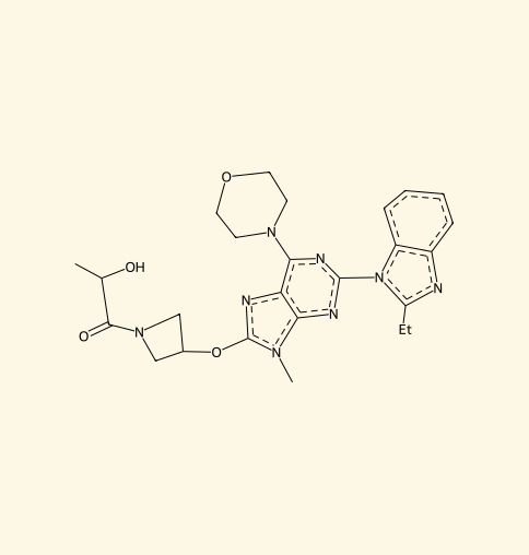 CCc1nc2ccccc2n1-c1nc(N2CCOCC2)c2nc(OC3CN(C(=O)C(C)O)C3)n(C)c2n1